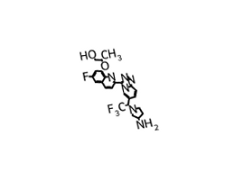 CC(CO)Oc1cc(F)cc2ccc(-c3nnc4ccc([C@@H](N5CCC(N)C5)C(F)(F)F)cn34)nc12